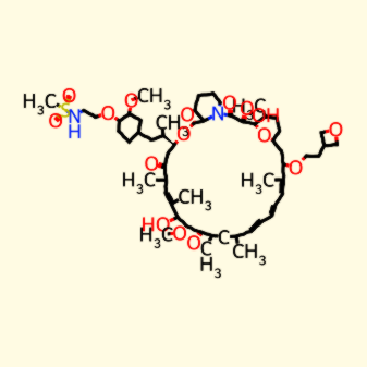 COC1CC(CC(C)[C@@H]2CC(=O)C(C)/C=C(\C)C(O)C(OC)C(=O)C(C)CC(C)/C=C/C=C/C=C(\C)C(OCCC3COC3)CC3CCC(C)C(O)(O3)C(=O)C(=O)N3CCCCC3C(=O)O2)CCC1OCCNS(C)(=O)=O